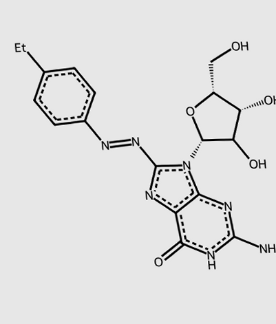 CCc1ccc(/N=N/c2nc3c(=O)[nH]c(N)nc3n2[C@@H]2O[C@H](CO)[C@H](O)C2O)cc1